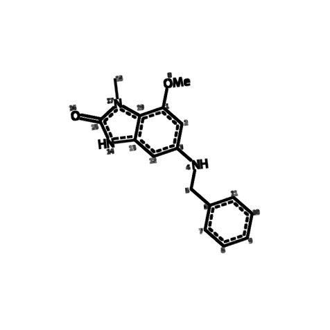 COc1cc(NCc2ccccc2)cc2[nH]c(=O)n(C)c12